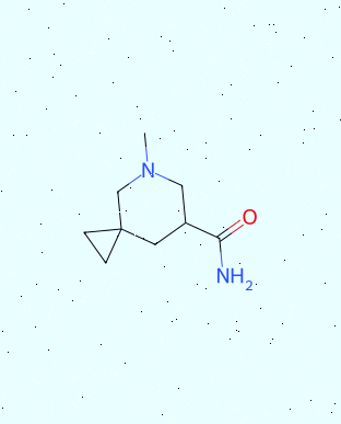 CN1CC(C(N)=O)CC2(CC2)C1